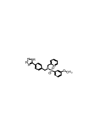 COc1cccc(S(=O)(=O)N(Cc2ccc(-c3nnn[nH]3)cc2)Cc2ccccn2)c1